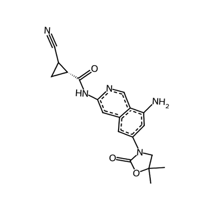 CC1(C)CN(c2cc(N)c3cnc(NC(=O)[C@@H]4CC4C#N)cc3c2)C(=O)O1